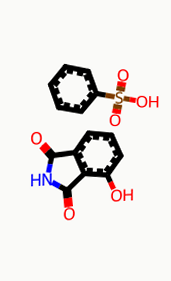 O=C1NC(=O)c2c(O)cccc21.O=S(=O)(O)c1ccccc1